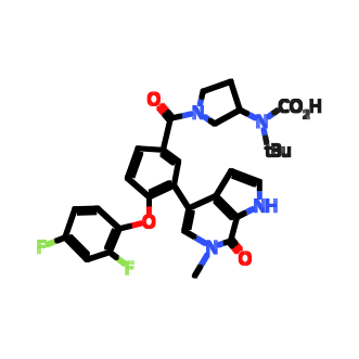 Cn1cc(-c2cc(C(=O)N3CCC(N(C(=O)O)C(C)(C)C)C3)ccc2Oc2ccc(F)cc2F)c2cc[nH]c2c1=O